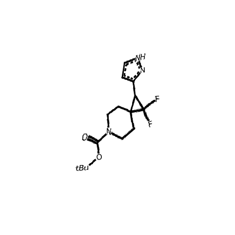 CC(C)(C)OC(=O)N1CCC2(CC1)C(c1cc[nH]n1)C2(F)F